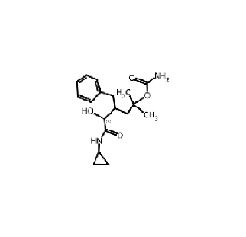 CC(C)(CC(Cc1ccccc1)[C@H](O)C(=O)NC1CC1)OC(N)=O